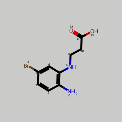 Nc1ccc(Br)cc1NCCC(=O)O